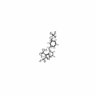 O=C(O)c1c(C(F)(F)F)nn2c1N(Cc1cccc(OC(F)(F)F)c1)CC2